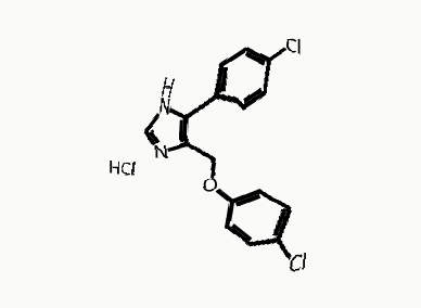 Cl.Clc1ccc(OCc2nc[nH]c2-c2ccc(Cl)cc2)cc1